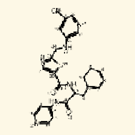 O=C(N[C@@H](CC1CCCCC1)C(=O)Nc1ccncc1)c1cnc(CNc2cncc(Cl)c2)s1